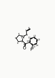 C=CCN1CCCC1C(=O)c1ccccc1F